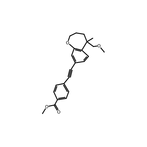 COCC1(C)CCCOc2cc(C#Cc3ccc(C(=O)OC)cc3)ccc21